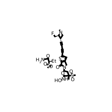 CC[C@H](C(N)=O)S(C)(=O)=O.CN1C[C@H](C#CC#Cc2cc3c(s2)C(=O)N(CCC(C)(C(=O)NO)S(C)(=O)=O)C3)[C@H]1CF